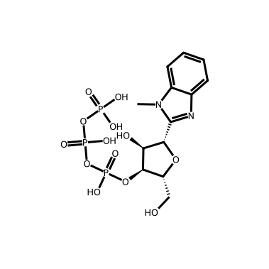 Cn1c([C@@H]2O[C@H](CO)[C@@H](OP(=O)(O)OP(=O)(O)OP(=O)(O)O)[C@H]2O)nc2ccccc21